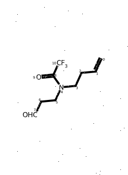 C=CCCN(CCC=O)C(=O)C(F)(F)F